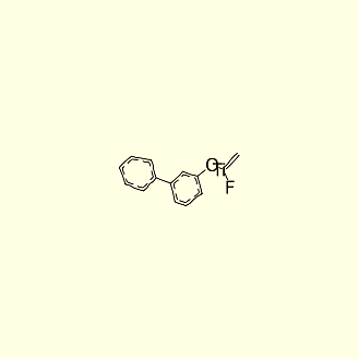 [CH2]=[Ti]([F])[O]c1cccc(-c2ccccc2)c1